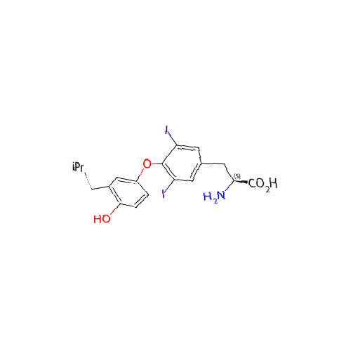 CC(C)Cc1cc(Oc2c(I)cc(C[C@H](N)C(=O)O)cc2I)ccc1O